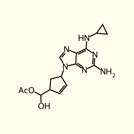 CC(=O)OC(O)C1C=CC(n2cnc3c(NC4CC4)nc(N)nc32)C1